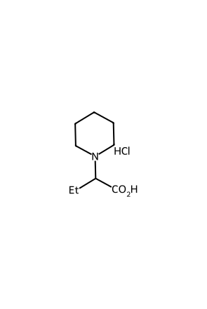 CCC(C(=O)O)N1CCCCC1.Cl